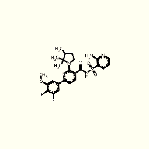 COc1cc(-c2ccc(C(=O)NS(=O)(=O)c3cccnc3N)c(N3CCC(C)C3(C)C)n2)cc(F)c1F